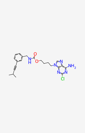 CC(C)C#Cc1cccc(CNC(=O)OCCCCn2cnc3c(N)nc(Cl)nc32)c1